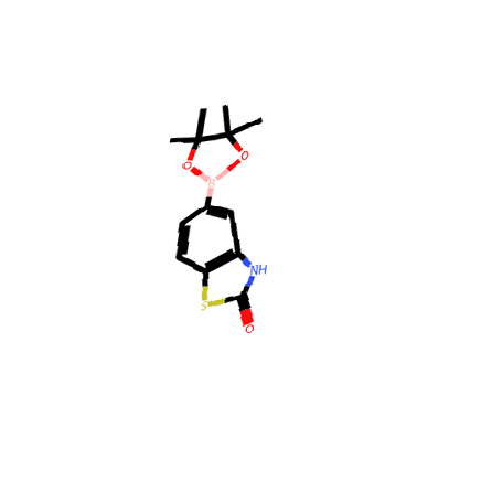 CC1(C)OB(c2ccc3sc(=O)[nH]c3c2)OC1(C)C